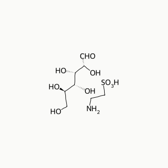 NCCS(=O)(=O)O.O=C[C@H](O)[C@@H](O)[C@H](O)[C@H](O)CO